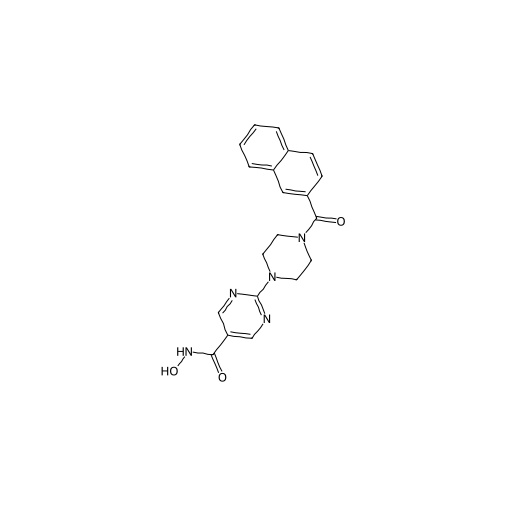 O=C(NO)c1cnc(N2CCN(C(=O)c3ccc4ccccc4c3)CC2)nc1